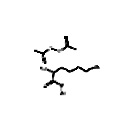 CC(=O)OOC(C)=O.CC(C)(C)CCCCC(C(=O)OO)C(C)(C)C